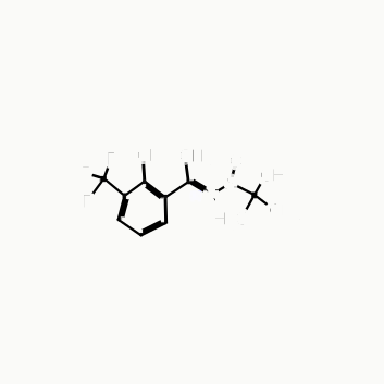 C/C(=N\[S+]([O-])C(C)(C)C)c1cccc(C(F)(F)F)c1C